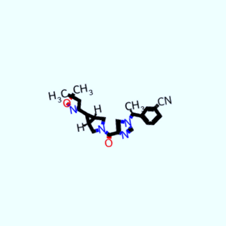 C[C@@H](c1cccc(C#N)c1)n1cnc(C(=O)N2C[C@@H]3C(C4=NOC(C)(C)C4)[C@@H]3C2)c1